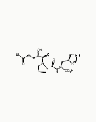 CCC(=O)SCC(C)C(=O)N1CCC[C@H]1C(=O)N[C@@H](Cc1c[nH]cn1)C(=O)O